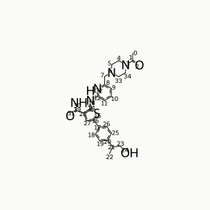 CC(=O)N1CCN(Cc2cccc(Nc3sc(-c4ccc(C(C)CO)cc4)cc3C(N)=O)n2)CC1